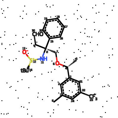 Cc1cc([C@@H](C)OC[C@@](CC=O)(N[S@+]([O-])C(C)(C)C)c2ccccc2)cc(C(F)(F)F)c1